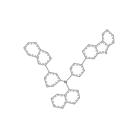 c1cc(-c2ccc3ccccc3c2)cc(N(c2ccc(-c3ccc4c(c3)sc3ccccc34)cc2)c2cccc3ccccc23)c1